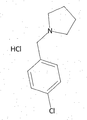 Cl.Clc1ccc(CN2CCCC2)cc1